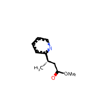 COC(=O)C[C@H](C)c1ccccn1